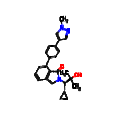 Cn1cc(-c2ccc(-c3cccc4c3C(=O)N([C@H](C3CC3)C(C)(C)O)C4)cc2)cn1